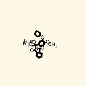 CCC(OC)(c1ccc(OC)c(OC2CCCC2)c1)N1C(=O)c2ccccc2C1=O